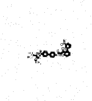 COC(=O)[C@@H](NS(=O)(=O)c1ccc(-c2ccc(NC(=O)c3oc4cccc(-c5cccc([N+](=O)[O-])c5)c4c3C)cc2)cc1)C(C)C